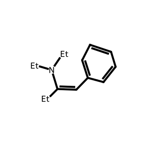 CCC(=Cc1ccccc1)N(CC)CC